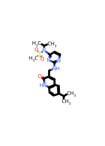 CC(C)c1ccc2[nH]c(=O)c(CNc3nccc(N(C(C)C)S(C)(=O)=O)n3)cc2c1